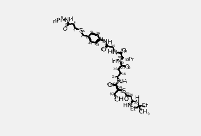 CCCNC(=O)CCSCc1ccc(NC(=O)CNC(=O)[C@@H](NC(=O)CCCNC(=O)C(CC=O)SCCC(=N)NC(C)(CC)CC)C(C)C)cc1